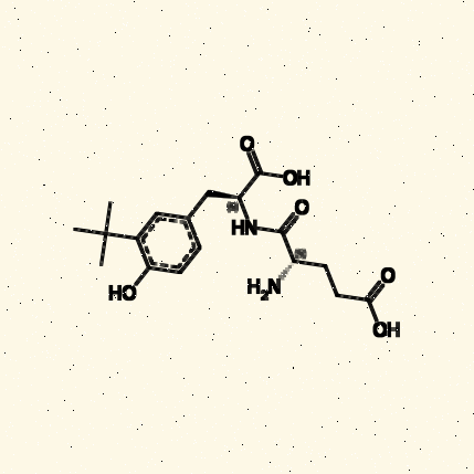 CC(C)(C)c1cc(C[C@H](NC(=O)[C@@H](N)CCC(=O)O)C(=O)O)ccc1O